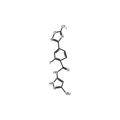 CC(C)(C)c1cc(NC(=O)c2ccc(-c3noc(C(F)(F)F)n3)cc2F)[nH]n1